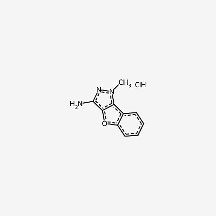 Cl.Cn1nc(N)c2oc3ccccc3c21